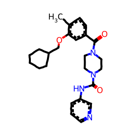 Cc1ccc(C(=O)N2CCN(C(=O)Nc3cccnc3)CC2)cc1OCC1CCCCC1